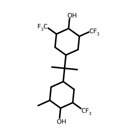 CC1CC(C(C)(C)C2CC(C(F)(F)F)C(O)C(C(F)(F)F)C2)CC(C(F)(F)F)C1O